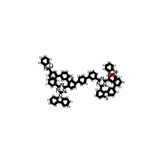 c1ccc(-c2nc(-c3cccc(-c4ccc(-c5ccc(-c6nc(-c7ccccc7)nc(-n7c8ccccc8c8ccccc87)n6)c6c5sc5ccc(-c7cccc(-c8nc9ccccc9o8)c7)cc56)cc4)c3)nc(-c3cccc4sc5ccc(-c6cccc(-c7nc8ccccc8o7)c6)cc5c34)n2)cc1